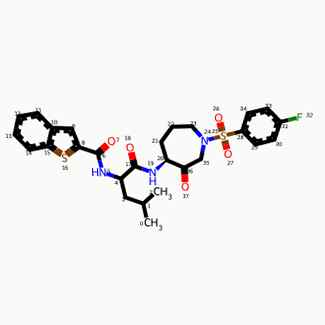 CC(C)CC(NC(=O)c1cc2ccccc2s1)C(=O)N[C@H]1CCCN(S(=O)(=O)c2ccc(F)cc2)CC1=O